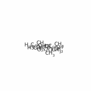 CC(CC(C)C(=O)OC(C)(C)CC(C)(C)S)C(=O)OC(C)(C)CC(C)(C)S